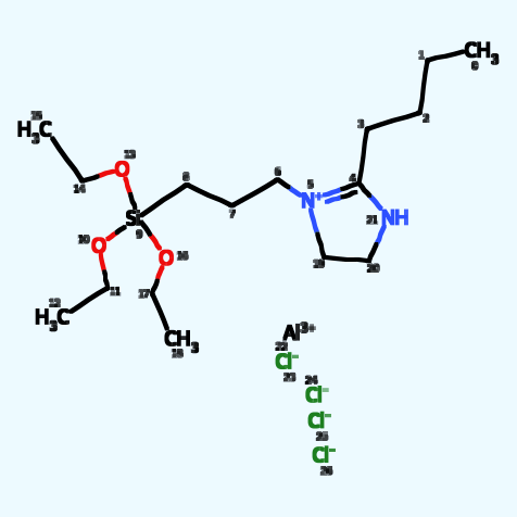 CCCCC1=[N+](CCC[Si](OCC)(OCC)OCC)CCN1.[Al+3].[Cl-].[Cl-].[Cl-].[Cl-]